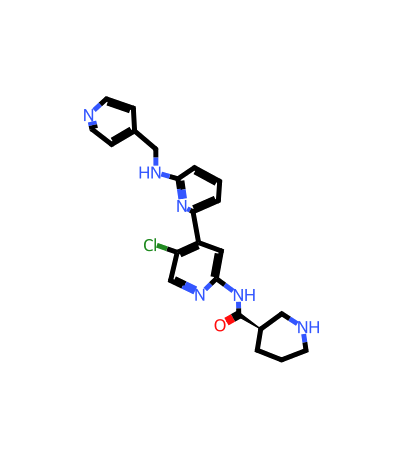 O=C(Nc1cc(-c2cccc(NCc3ccncc3)n2)c(Cl)cn1)[C@@H]1CCCNC1